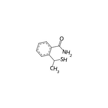 CC(S)c1ccccc1C(N)=O